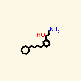 NCCC(O)c1cccc(CCCCC2CCCCCC2)c1